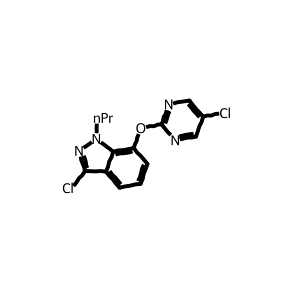 CCCn1nc(Cl)c2cccc(Oc3ncc(Cl)cn3)c21